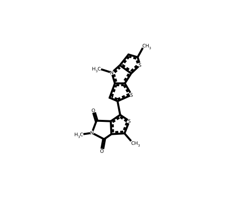 Cc1cc2c(s1)c1sc(-c3sc(C)c4c3C(=O)N(C)C4=O)cc1n2C